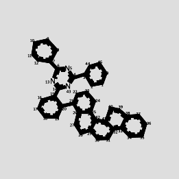 c1ccc(-c2nc(-c3ccccc3)nc(-c3ccccc3-c3cccc4c3ccc3ccc5c6ccccc6ccc5c34)n2)cc1